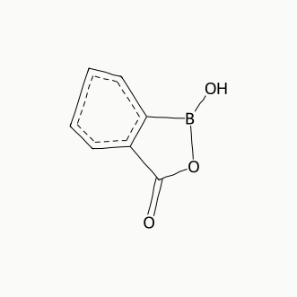 O=C1OB(O)c2ccccc21